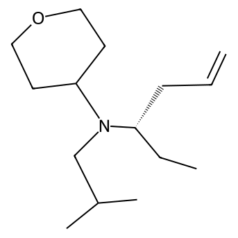 C=CC[C@H](CC)N(CC(C)C)C1CCOCC1